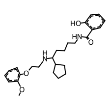 COc1ccccc1OCCNC(CCCCNC(=O)c1ccccc1O)C1CCCC1